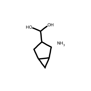 N.OC(O)C1CC2CC2C1